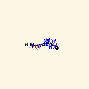 CN(CC=CC(=O)N1CC2CC(n3nc(-c4ccc(C(=O)Nc5ccccc5)cc4)c4c(N)ncnc43)CC2C1)C1CC1